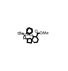 COC(=O)C1CCC[C@]2(CC[C@@H](O[SiH](c3ccccc3)C(C)(C)C)C2)C1O